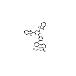 CC1(C)c2ccccc2-c2c(-c3cccc(-c4cc(-c5nc6ccccc6o5)cc(-c5nc6ccccc6o5)c4)c3)cccc21